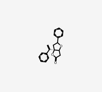 C=C(c1ccccc1)[C@]12CC(c3ccccc3)OC1CC(=O)O2